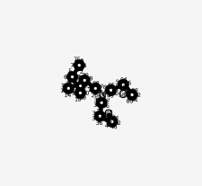 c1ccc(-c2cccc(C3(c4ccccc4)c4ccccc4-c4c(-c5ccc(N(c6ccc(-c7cccc8c7oc7ccccc78)cc6)c6ccc(-c7cccc8c7oc7ccccc78)cc6)cc5)cccc43)c2)cc1